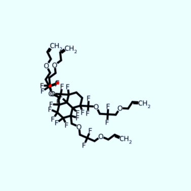 C=CCOCCC(F)(F)OCC1(F)C(F)(F)C(F)(F)C(F)(COCC(F)(F)COCC=C)C2(F)C(F)(C(F)(F)OCC(F)(F)COCC=C)CCC(F)(C(F)(F)OC(F)(F)CCOCC=C)C12F